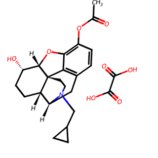 CC(=O)Oc1ccc2c3c1O[C@H]1[C@@H](O)CC[C@H]4[C@@H](C2)N(CC2CC2)CC[C@@]341.O=C(O)C(=O)O